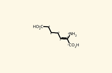 N/C(=C\CCCC(=O)O)C(=O)O